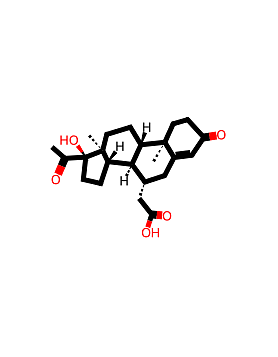 CC(=O)[C@@]1(O)CC[C@H]2[C@@H]3[C@@H](CC(=O)O)CC4=CC(=O)CC[C@]4(C)[C@H]3CC[C@@]21C